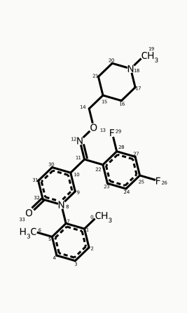 Cc1cccc(C)c1-n1cc(/C(=N/OCC2CCN(C)CC2)c2ccc(F)cc2F)ccc1=O